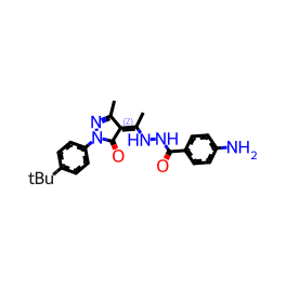 CC1=NN(c2ccc(C(C)(C)C)cc2)C(=O)/C1=C(/C)NNC(=O)c1ccc(N)cc1